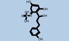 O=P(O)(O)N=C1CC(O)=CC(O)=C1C(O)CCc1cccc(O)c1